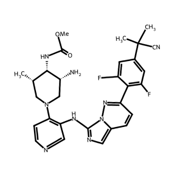 COC(=O)N[C@@H]1[C@H](N)CN(c2ccncc2Nc2ncc3ccc(-c4c(F)cc(C(C)(C)C#N)cc4F)nn23)C[C@@H]1C